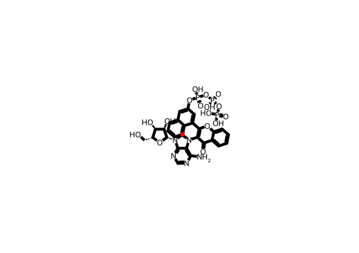 Nc1ncnc2c1N(c1c(-c3cc(OP(=O)(O)OP(=O)(O)OP(=O)(O)O)cc4ccccc34)oc3ccccc3c1=O)CN2[C@@H]1O[C@H](CO)[C@@H](O)[C@H]1O